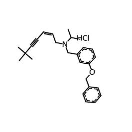 CC(C)N(C/C=C\C#CC(C)(C)C)Cc1cccc(OCc2ccccc2)c1.Cl